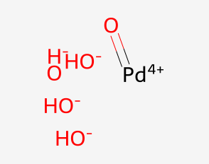 [OH-].[OH-].[OH-].[OH-].[O]=[Pd+4]